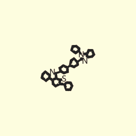 c1ccc(-n2c(-c3ccc(-c4ccc(-c5nc6ccccc6c6ccc7c8ccccc8sc7c56)cc4)cc3)nc3ccccc32)cc1